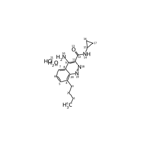 CCCCc1cccc2c(N)c(C(=O)NC3CC3)nnc12.Cl.O